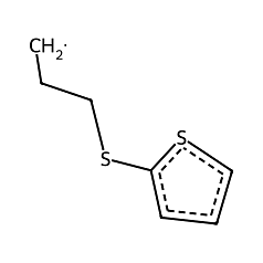 [CH2]CCSc1cccs1